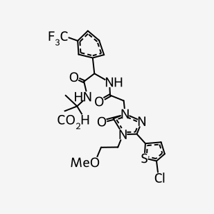 COCCn1c(-c2ccc(Cl)s2)nn(CC(=O)NC(C(=O)NC(C)(C)C(=O)O)c2cccc(C(F)(F)F)c2)c1=O